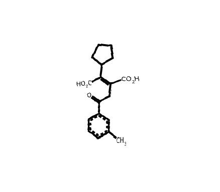 Cc1cccc(C(=O)CC(C(=O)O)=C(C(=O)O)C2CCCC2)c1